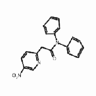 O=C(Cc1ccc([N+](=O)[O-])cn1)N(c1ccccc1)c1ccccc1